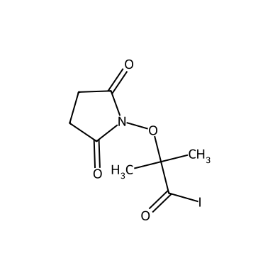 CC(C)(ON1C(=O)CCC1=O)C(=O)I